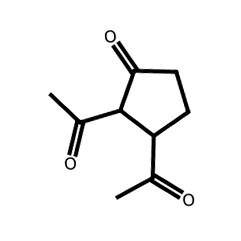 CC(=O)C1CCC(=O)C1C(C)=O